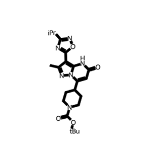 Cc1nn2c(C3CCN(C(=O)OC(C)(C)C)CC3)cc(=O)[nH]c2c1-c1nc(C(C)C)no1